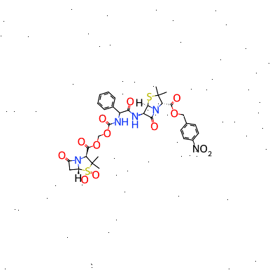 CC1(C)S[C@@H]2[C@H](NC(=O)C(NC(=O)OCOC(=O)[C@@H]3N4C(=O)C[C@H]4S(=O)(=O)C3(C)C)c3ccccc3)C(=O)N2[C@H]1C(=O)OCc1ccc([N+](=O)[O-])cc1